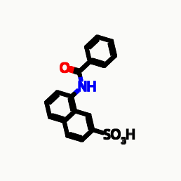 O=C(Nc1cccc2ccc(S(=O)(=O)O)cc12)c1ccccc1